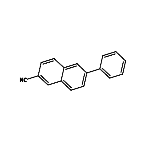 N#Cc1ccc2cc(-c3ccccc3)ccc2c1